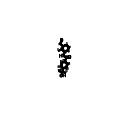 Cc1c(C=O)cccc1NC(=O)c1ccc(C(C)(C)O)cc1